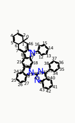 CC12C=CC=CC1C=c1c(n(-c3ccccc3)c3cc4c(cc13)c1ccccc1n4-c1nc(-c3ccccc3)c3ccccc3n1)=C2